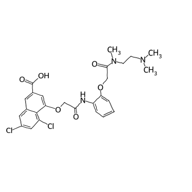 CN(C)CCN(C)C(=O)COc1ccccc1NC(=O)COc1cc(C(=O)O)cc2cc(Cl)cc(Cl)c12